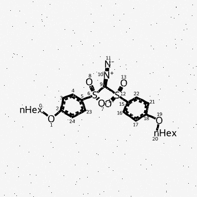 CCCCCCOc1ccc(S(=O)(=O)C(=[N+]=[N-])S(=O)(=O)c2ccc(OCCCCCC)cc2)cc1